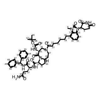 Cn1c(=O)n(C2CCC(=O)NC2=O)c2cccc(CCCCCCC(=O)N3CC[C@H]4CC[C@@H](C(=O)N[C@@H](CCC(N)=O)C(=O)NC(c5ccccc5)c5ccccc5)N4C(=O)[C@@H](NC(=O)OC(C)(C)C)C3)c21